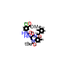 COC(=O)c1cc(NC(=O)NC2CN(C(=O)C(C)(C)C)c3ccc(C)cc3N(CC(=O)c3ccccc3C)C2=O)ccc1Cl